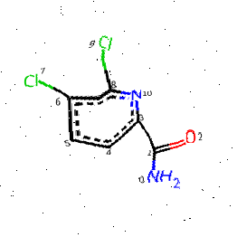 NC(=O)c1ccc(Cl)c(Cl)n1